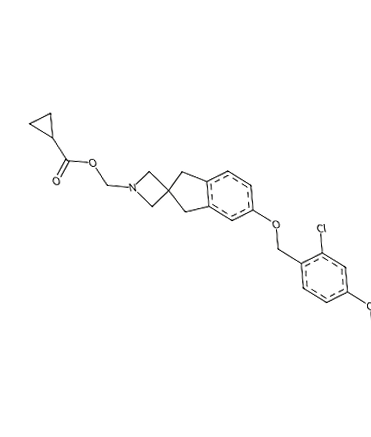 CCOc1ccc(COc2ccc3c(c2)CC2(C3)CN(COC(=O)C3CC3)C2)c(Cl)c1